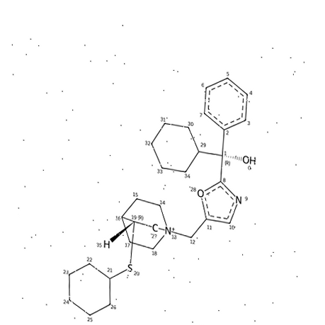 O[C@](c1ccccc1)(c1ncc(C[N+]23CCC(CC2)[C@@H](SC2CCCCC2)C3)o1)C1CCCCC1